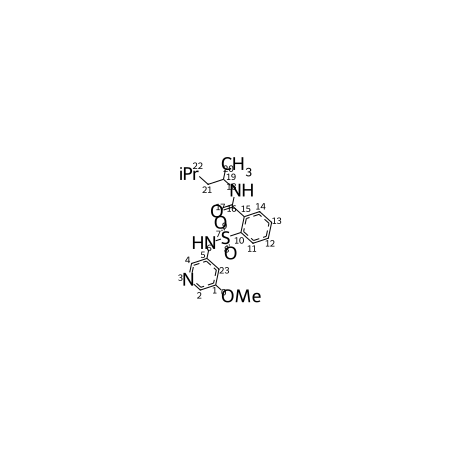 COc1cncc(NS(=O)(=O)c2ccccc2C(=O)NC(C)CC(C)C)c1